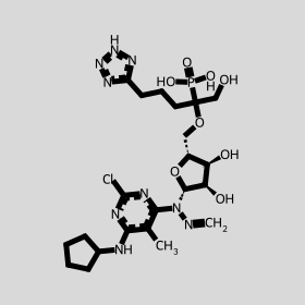 C=NN(c1nc(Cl)nc(NC2CCCC2)c1C)[C@@H]1O[C@H](COC(CO)(CCCc2nn[nH]n2)P(=O)(O)O)[C@@H](O)[C@H]1O